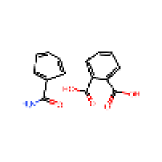 NC(=O)c1ccccc1.O=C(O)c1ccccc1C(=O)O